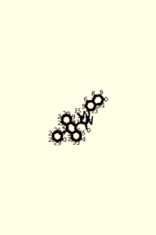 Cc1nn(-c2ccc3ccccc3c2)c(C)c1-c1c2ccccc2c(-c2ccccc2)c2ccccc12